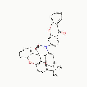 CC(C)c1ccc2c(c1)C1(c3ccccc3O2)c2ccccc2N(c2ccc3c(=O)c4ccccc4oc3c2)c2ccccc21